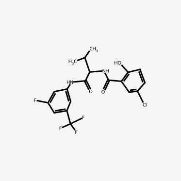 CC(C)C(NC(=O)c1cc(Cl)ccc1O)C(=O)Nc1cc(F)cc(C(F)(F)F)c1